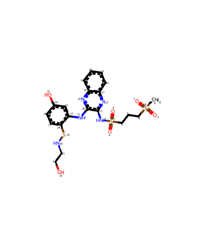 CS(=O)(=O)CCCS(=O)(=O)Nc1nc2ccccc2nc1Nc1cc(O)ccc1SNCCO